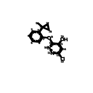 CC1(c2ccccc2Oc2nnc(Cl)cc2O)CC1